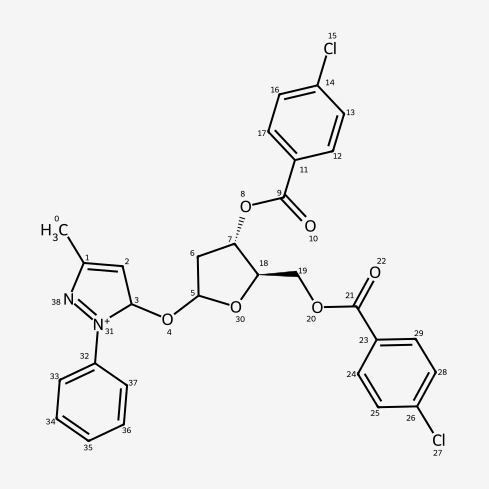 CC1=CC(OC2C[C@H](OC(=O)c3ccc(Cl)cc3)[C@@H](COC(=O)c3ccc(Cl)cc3)O2)[N+](c2ccccc2)=N1